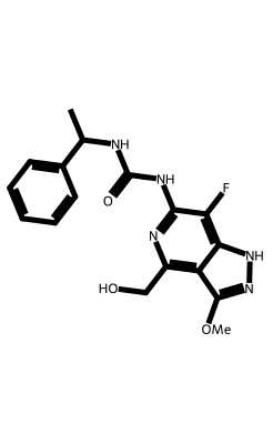 COc1n[nH]c2c(F)c(NC(=O)NC(C)c3ccccc3)nc(CO)c12